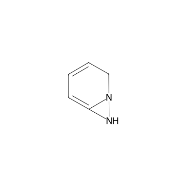 C1=CCN2NC2=C1